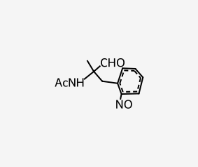 CC(=O)NC(C)(C=O)Cc1ccccc1N=O